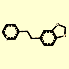 [CH](Cc1cccnc1)c1ccc2c(c1)OCO2